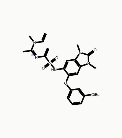 C=CN(C)/C(C)=N\C(=C)S(=O)(=O)Nc1cc2c(cc1Oc1cccc(OCC(C)C)c1)n(C)c(=O)n2C